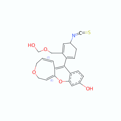 OCOCC1=CC(N=C=S)CC=C1C1=C2/C=C\COC/C=C\2Oc2cc(O)ccc21